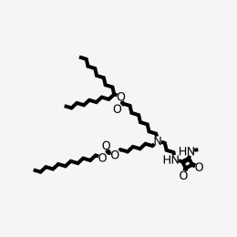 CCCCCCCCCCCOC(=O)OCCCCCCN(CCCCCCCC(=O)OC(CCCCCCCC)CCCCCCCC)CCCNc1c(NC)c(=O)c1=O